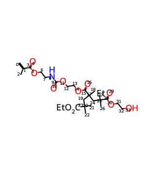 C=C(C)C(=O)OCCNC(=O)OCCOC(=O)C(C)(CC(C)(C)C(=O)OCC)CC(C)(CC)C(=O)OCCO